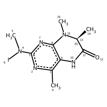 Cc1nc(N(C)I)nc2c1NC(=O)[C@H](C)N2C